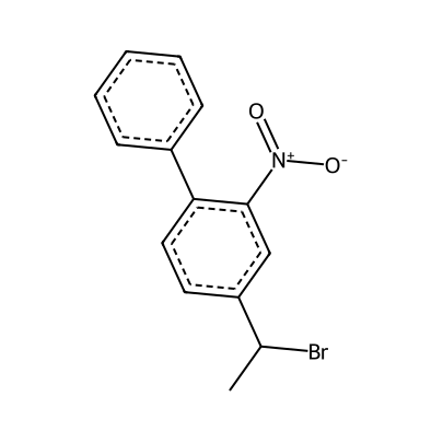 CC(Br)c1ccc(-c2ccccc2)c([N+](=O)[O-])c1